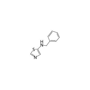 c1ccc(CNc2cncs2)cc1